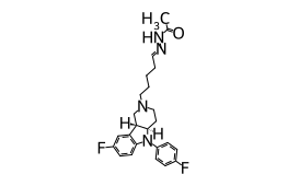 CC(=O)NN=CCCCCN1CC[C@@H]2[C@@H](C1)c1cc(F)ccc1N2c1ccc(F)cc1